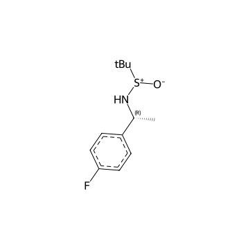 C[C@@H](N[S+]([O-])C(C)(C)C)c1ccc(F)cc1